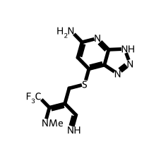 CN/C(=C(\C=N)CSc1cc(N)nc2[nH]nnc12)C(F)(F)F